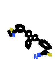 NC1S[C@H]1c1cccc(-c2ccc3c4ccc(-c5cccc(-c6nccs6)c5)cc4c4ccccc4c3c2)c1